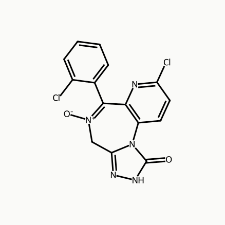 O=c1[nH]nc2n1-c1ccc(Cl)nc1C(c1ccccc1Cl)=[N+]([O-])C2